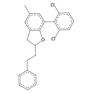 Cc1cc2c(c(-c3c(Cl)cccc3Cl)c1)OC([CH]Cc1ccccc1)C2